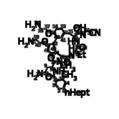 CCCCCCCc1ccc(C(=O)NC(CCN)C(=O)N(C)C2C(=O)NC(CC)C(=O)NC(C(=O)NCC#N)Cc3ccc(OCCN)c(c3)-c3cc2ccc3OCCN)c(C)c1